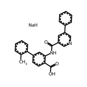 Cc1ccccc1-c1ccc(C(=O)O)c(NC(=O)c2cncc(-c3ccccc3)c2)c1.[NaH]